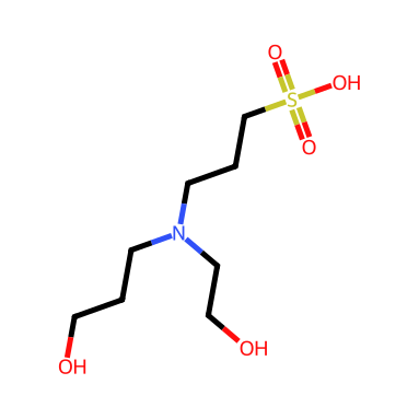 O=S(=O)(O)CCCN(CCO)CCCO